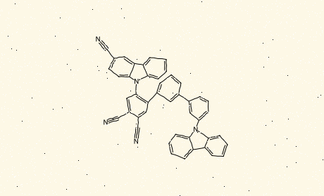 N#Cc1ccc2c(c1)c1ccccc1n2-c1cc(C#N)c(C#N)cc1-c1cccc(-c2cccc(-n3c4ccccc4c4ccccc43)c2)c1